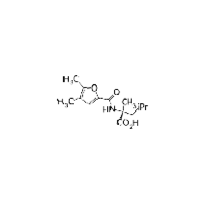 Cc1cc(C(=O)N[C@](C)(CC(C)C)C(=O)O)oc1C